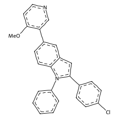 COc1ccncc1-c1ccc2c(c1)cc(-c1ccc(Cl)cc1)n2-c1ccccc1